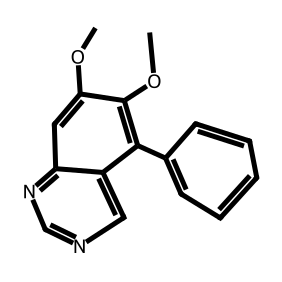 COc1cc2ncncc2c(-c2ccccc2)c1OC